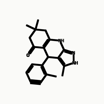 Cc1c#cccc1C1C2=C(CC(C)(C)CC2=O)Nc2n[nH]c(C)c21